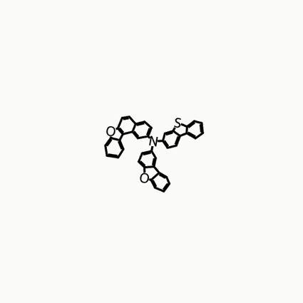 c1ccc2c(c1)oc1ccc(N(c3ccc4c(c3)sc3ccccc34)c3ccc4ccc5oc6ccccc6c5c4c3)cc12